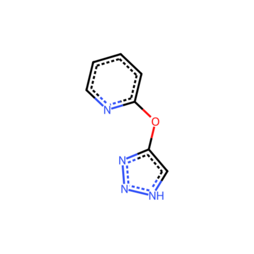 c1ccc(Oc2c[nH]nn2)nc1